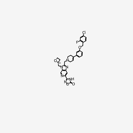 O=c1[nH]c(-c2cc3nc(CN4CC=C(c5cccc(OCc6ccc(Cl)cc6F)c5)CC4)n(C[C@@H]4CCO4)c3cn2)no1